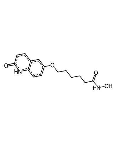 O=C(CCCCCOc1ccc2[nH]c(=O)ccc2c1)NO